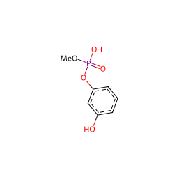 COP(=O)(O)Oc1cccc(O)c1